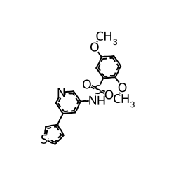 COc1ccc(OC)c(S(=O)(=O)Nc2cncc(-c3ccsc3)c2)c1